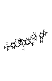 Cc1cc(C(F)(F)F)nn1CC(=O)Nc1cc(F)c(-n2cnc([C@@H]3CC(F)(F)CN3)n2)nc1Br